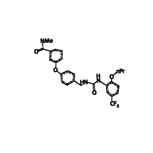 CCCOc1ccc(C(F)(F)F)cc1NC(=O)NCc1ccc(Oc2cccc(C(=O)NC)c2)cc1